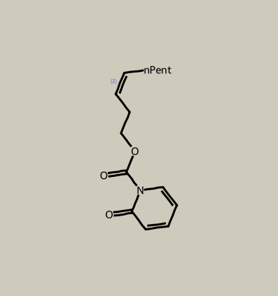 CCCCC/C=C\CCOC(=O)n1ccccc1=O